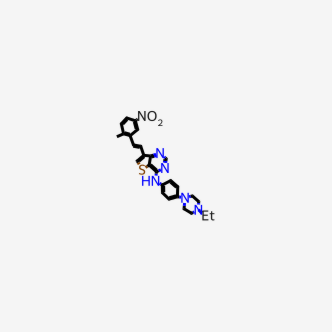 CCN1CCN(c2ccc(Nc3ncnc4c(C=Cc5cc([N+](=O)[O-])ccc5C)csc34)cc2)CC1